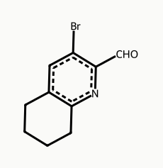 O=Cc1nc2c(cc1Br)CCCC2